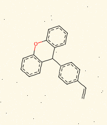 C=Cc1ccc(C2c3ccccc3Oc3ccccc32)cc1